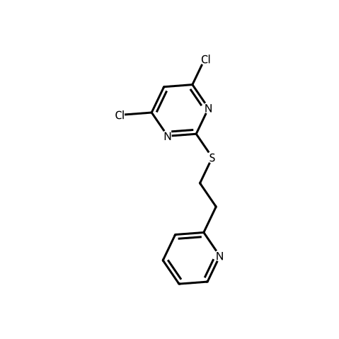 Clc1cc(Cl)nc(SCCc2ccccn2)n1